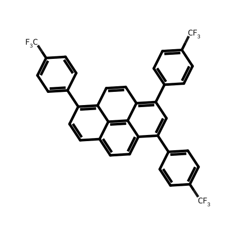 FC(F)(F)c1ccc(-c2ccc3ccc4c(-c5ccc(C(F)(F)F)cc5)cc(-c5ccc(C(F)(F)F)cc5)c5ccc2c3c45)cc1